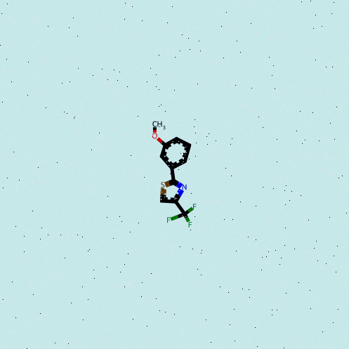 COc1cccc(-c2nc(C(F)(F)F)cs2)c1